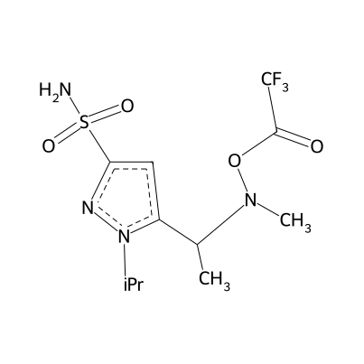 CC(c1cc(S(N)(=O)=O)nn1C(C)C)N(C)OC(=O)C(F)(F)F